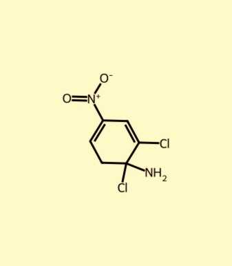 NC1(Cl)CC=C([N+](=O)[O-])C=C1Cl